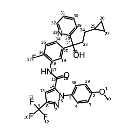 COc1ccc(-n2nc(C(F)(F)F)cc2C(=O)Nc2cc(C(O)(CCC3CC3)c3ccccn3)ccc2F)cc1